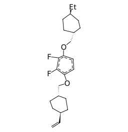 C=C[C@H]1CC[C@H](COc2ccc(OC[C@H]3CC[C@H](CC)CC3)c(F)c2F)CC1